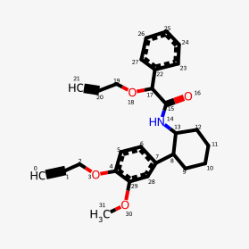 C#CCOc1ccc(C2CCCCC2NC(=O)C(OCC#C)c2ccccc2)cc1OC